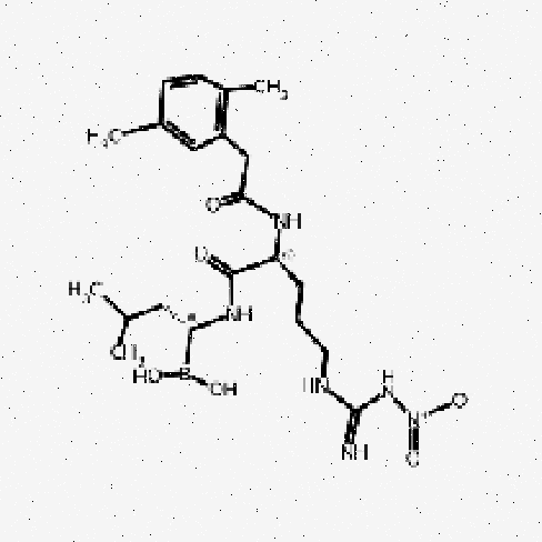 Cc1ccc(C)c(CC(=O)N[C@@H](CCCNC(=N)N[N+](=O)[O-])C(=O)N[C@@H](CC(C)C)B(O)O)c1